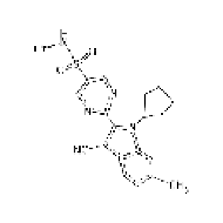 Cc1ccc2c(C#N)c(-c3ncc(S(=O)(=O)NC(C)C)cn3)n(C3CCCC3)c2c1